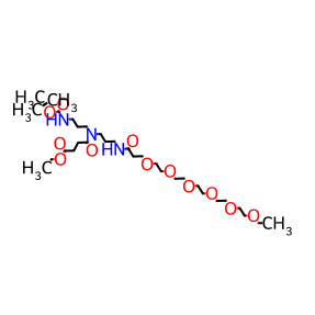 CCOCCOCCOCCOCCOCCOCCC(=O)NCCCN(CCCNC(=O)OC(C)(C)C)C(=O)CCC(=O)OCC